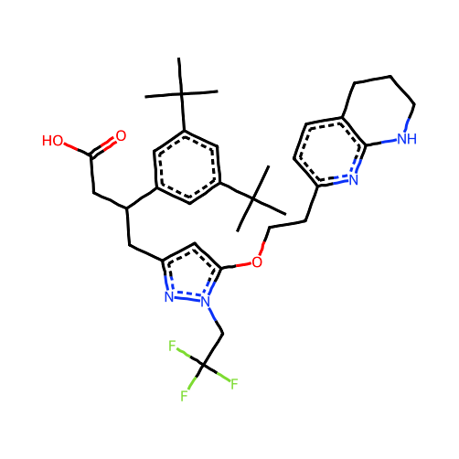 CC(C)(C)c1cc(C(CC(=O)O)Cc2cc(OCCc3ccc4c(n3)NCCC4)n(CC(F)(F)F)n2)cc(C(C)(C)C)c1